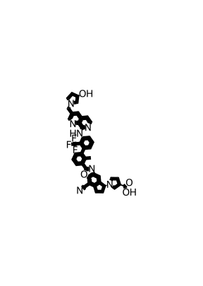 Cc1c(-c2nc3cc4c(c(C#N)c3o2)CC[C@H]4N2CC[C@@H](C(=O)O)C2)cccc1-c1cccc(Nc2nccc3cc(CN4CC[C@@H](O)C4)cnc23)c1C(F)(F)F